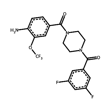 Nc1ccc(C(=O)N2CCN(C(=O)c3cc(F)cc(F)c3)CC2)cc1OC(F)(F)F